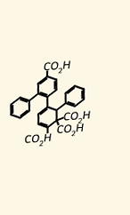 O=C(O)C1=CC=C(c2ccc(C(=O)O)cc2-c2ccccc2)C(c2ccccc2)C1(C(=O)O)C(=O)O